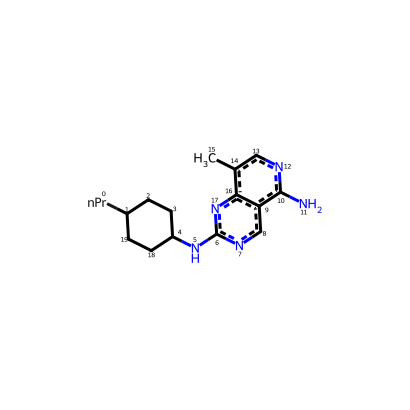 CCCC1CCC(Nc2ncc3c(N)ncc(C)c3n2)CC1